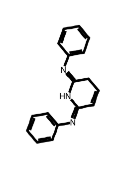 C1=C/C(=N/c2ccccc2)N/C(=N/c2ccccc2)C1